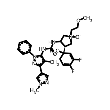 COCC[N+]1([O-])CC(NC(=O)Nc2c(C)c(-c3cnn(C)c3)nn2-c2ccccc2)[C@H](C2(C)C=C(F)C(F)=CC2)C1